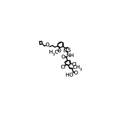 COc1c(CCCOCC2CCC2)cccc1-c1csc(NC(=O)c2cc(Cl)c(/C=C(\C)C(=O)O)c(Cl)c2)n1